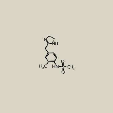 Cc1cc(CC2=NCCN2)ccc1NS(C)(=O)=O